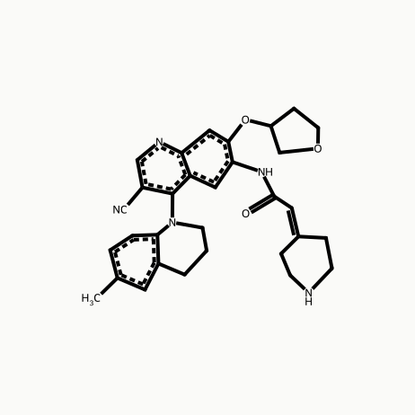 Cc1ccc2c(c1)CCCN2c1c(C#N)cnc2cc(OC3CCOC3)c(NC(=O)C=C3CCNCC3)cc12